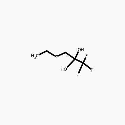 CCSCC(O)(O)C(F)(F)F